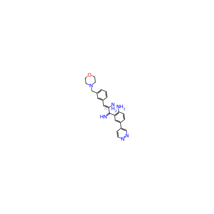 N=C(/C(N)=C/c1cccc(CN2CCOCC2)c1)c1cc(-c2ccnnc2)ccc1N